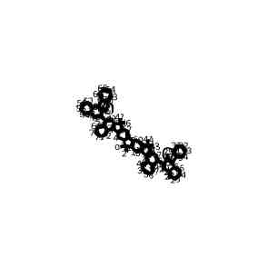 CC1(C)c2cc3c(cc2-c2cc4c(cc21)-c1c(cc(-c2cc5ccccc5c5c2oc2ccccc25)c2ccccc12)C4(C)C)C(C)(C)c1cc(-c2cc4ccccc4c4c2oc2ccccc24)c2ccccc2c1-3